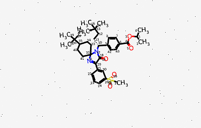 CC(C)OC(=O)c1ccc([C@@H](CCC(C)(C)C)N2C(=O)C(c3cccc(S(C)(=O)=O)c3)=NC23CCC(C(C)(C)C)CC3)cc1